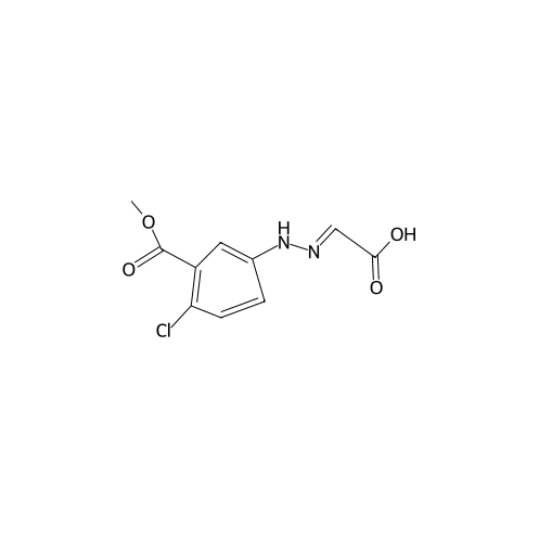 COC(=O)c1cc(N/N=C/C(=O)O)ccc1Cl